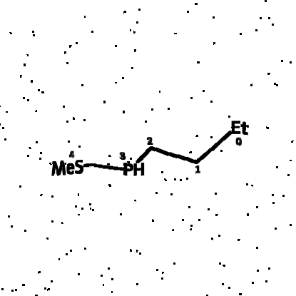 CCCCPSC